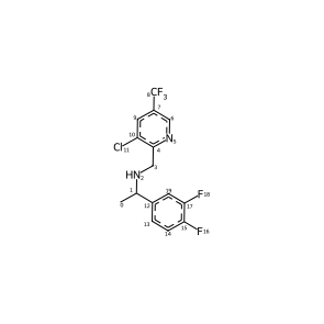 CC(NCc1ncc(C(F)(F)F)cc1Cl)c1ccc(F)c(F)c1